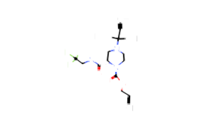 C#CC(C)(C)N1CCN(C(=O)OCC=C)[C@H](C(=O)NCC(F)(F)F)C1